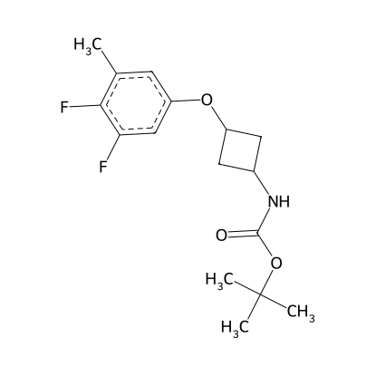 Cc1cc(OC2CC(NC(=O)OC(C)(C)C)C2)cc(F)c1F